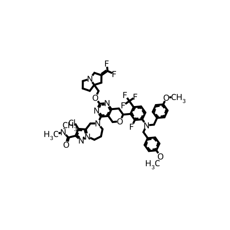 COc1ccc(CN(Cc2ccc(OC)cc2)c2ccc(C(F)(F)F)c(C3Cc4nc(OCC56CCCN5CC(=C(F)F)C6)nc(N5CCCn6nc(C(=O)N(C)C)c(Cl)c6C5)c4CO3)c2F)cc1